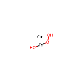 O[O][Fe][OH].[Cu]